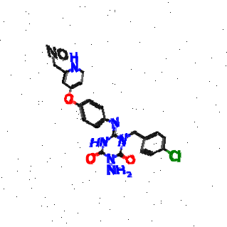 Nn1c(=O)[nH]/c(=N\c2ccc(OC3=CCNC(CN=O)=C3)cc2)n(Cc2ccc(Cl)cc2)c1=O